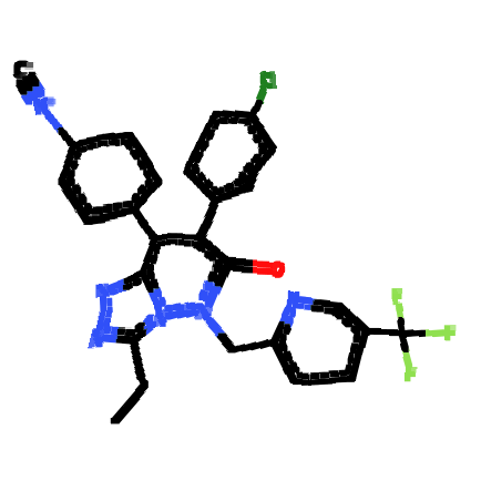 [C-]#[N+]c1ccc(-c2c(-c3ccc(Cl)cc3)c(=O)n(Cc3ccc(C(F)(F)F)cn3)n3c(CC)nnc23)cc1